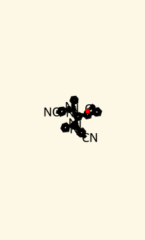 CC1(C)Oc2cc(-c3cc(-c4nc(-c5ccccc5)nc(-c5ccc(C#N)cc5)n4)cc(-c4nc(-c5ccccc5)nc(-c5ccc(C#N)cc5)n4)c3)ccc2-c2ccccc21